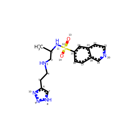 CC(CNCCc1c[nH]nn1)NS(=O)(=O)c1ccc2cnccc2c1